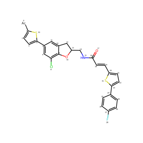 CC(=O)c1ccc(-c2cc(Cl)c3c(c2)CC(CNC(=O)C=Cc2ccc(-c4ccc(F)cc4)s2)O3)s1